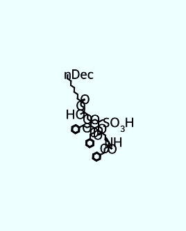 CCCCCCCCCCCCCCCCCC(=O)OCC(O)COC1OC(CS(=O)(=O)O)C(OC(=O)CCNC(=O)OCc2ccccc2)C(OCc2ccccc2)C1OCc1ccccc1